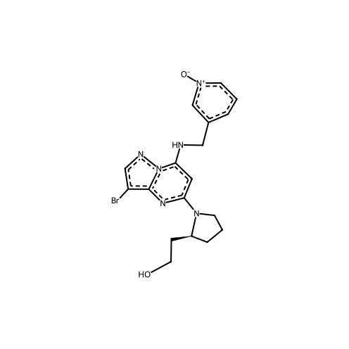 [O-][n+]1cccc(CNc2cc(N3CCC[C@H]3CCO)nc3c(Br)cnn23)c1